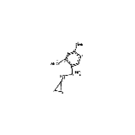 COc1ccc(CNC2CC2)c(OC)c1.Cl